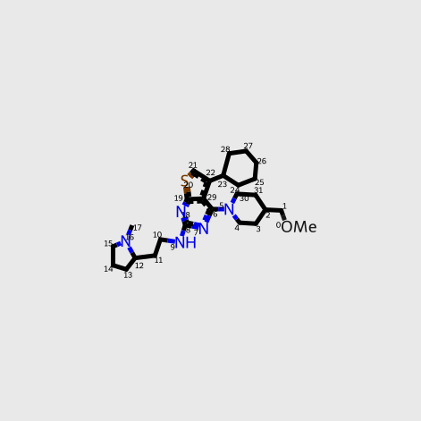 COCC1CCN(c2nc(NCCC3CCCN3C)nc3scc(C4CCCCC4)c23)CC1